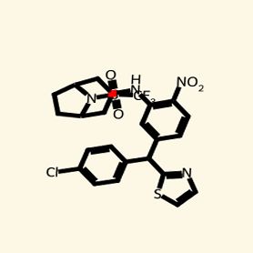 O=[N+]([O-])c1ccc(C(c2ccc(Cl)cc2)c2nccs2)cc1NC1CC2CCC(C1)N2S(=O)(=O)C(F)(F)F